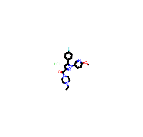 CCN1CCN(C(=O)c2cc(-c3ccc(F)cc3)n(-c3ccc(OC)nc3)n2)CC1.Cl